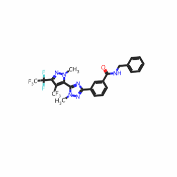 Cn1nc(-c2cccc(C(=O)NCc3ccccc3)c2)nc1-c1c(C(F)(F)F)c(C(F)(F)C(F)(F)F)nn1C